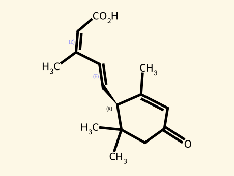 CC1=CC(=O)CC(C)(C)[C@H]1/C=C/C(C)=C\C(=O)O